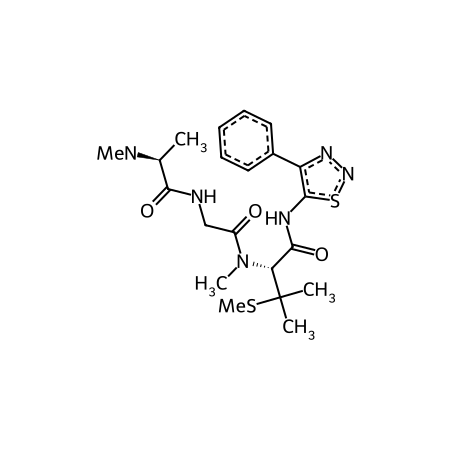 CN[C@@H](C)C(=O)NCC(=O)N(C)[C@H](C(=O)Nc1snnc1-c1ccccc1)C(C)(C)SC